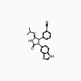 CC(C)/N=C1\NC(=O)N(c2ccc3[nH]cnc3c2)C1c1cccc(C#N)c1